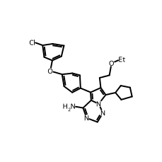 CCOCCc1c(-c2ccc(Oc3cccc(Cl)c3)cc2)c2c(N)ncnn2c1C1CCCC1